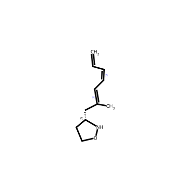 C=C/C=C\C=C(/C)C[C@H]1CCON1